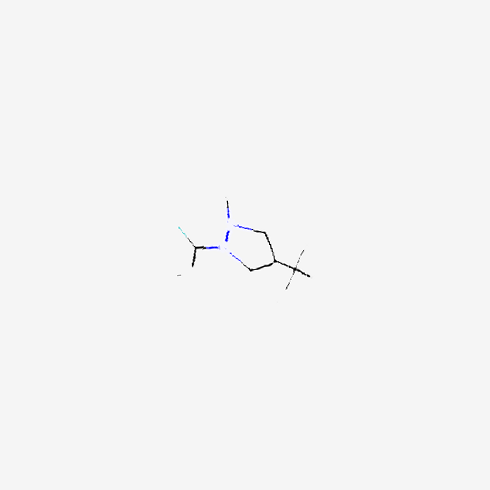 CC(F)N1CC(C(C)(C)C)CN1C